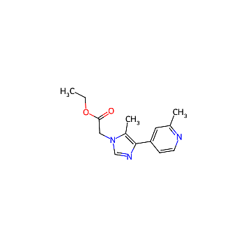 CCOC(=O)Cn1cnc(-c2ccnc(C)c2)c1C